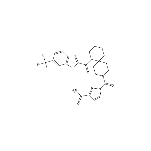 NC(=O)c1ccn(C(=O)N2CCC3(CCCCC3C(=O)c3cc4ccc(C(F)(F)F)cc4s3)CC2)n1